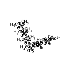 COP([O-])(=S)OC.COP([O-])(=S)OC.COP([O-])(=S)OC.COP([O-])(=S)OC.COP([O-])(=S)OC.COP([O-])(=S)OC.[Mo+6]